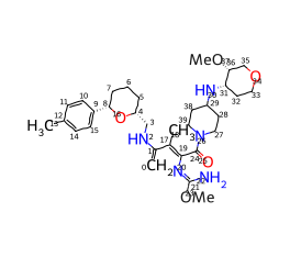 C=C(NC[C@H]1CCC[C@@H](c2ccc(C)cc2)O1)/C(C)=C(\N=C(/N)OC)C(=O)N1CCC(N[C@H]2CCOC[C@H]2OC)CC1